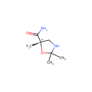 CC1(C)NC[C@](C(N)=O)(C(F)(F)F)O1